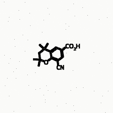 CC1(C)CC(C)(C)c2cc(C(=O)O)cc(C#N)c2O1